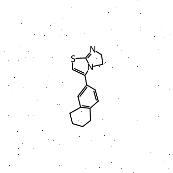 C1=C(c2ccc3c(c2)CCCC3)N2CCN=C2S1